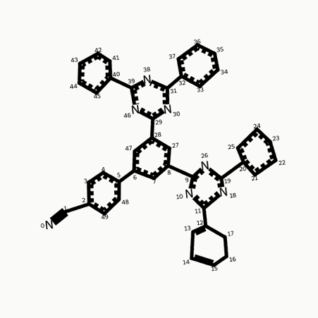 N#Cc1ccc(-c2cc(-c3nc(C4=CC=CCC4)nc(-c4ccccc4)n3)cc(-c3nc(-c4ccccc4)nc(-c4ccccc4)n3)c2)cc1